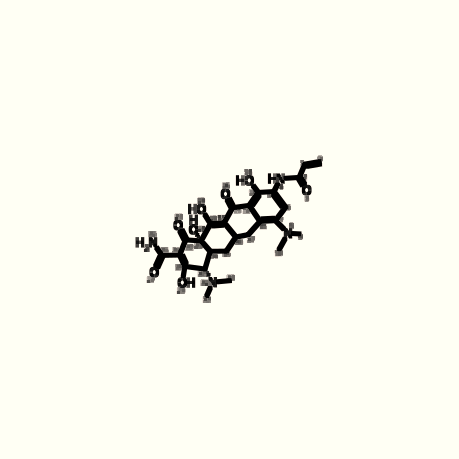 C=CC(=O)Nc1cc(N(C)C)c2c(c1O)C(=O)C1=C(O)[C@]3(O)C(=O)C(C(N)=O)=C(O)[C@@H](N(C)C)C3CC1C2